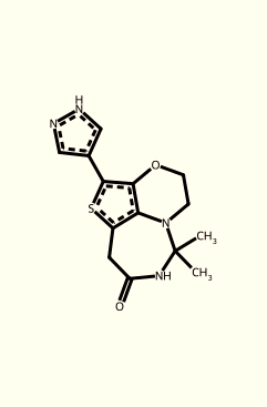 CC1(C)NC(=O)Cc2sc(-c3cn[nH]c3)c3c2N1CCO3